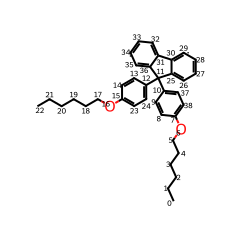 CCCCCCOc1ccc(C2(c3ccc(OCCCCCC)cc3)c3ccc[c]c3-c3cc[c]cc32)cc1